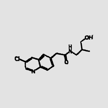 CC(CO)CNC(=O)Cc1ccc2ncc(Cl)cc2c1